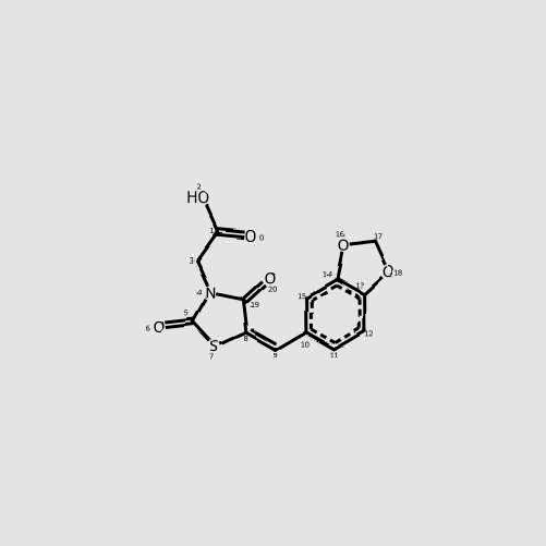 O=C(O)CN1C(=O)SC(=Cc2ccc3c(c2)OCO3)C1=O